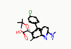 Cc1cc2nc(N(C)C)ccc2c(-c2ccc(Cl)cc2)c1[C@H](OC(C)(C)C)C(=O)O